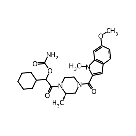 COc1ccc2cc(C(=O)N3CCN(C(=O)C(OC(N)=O)C4CCCCC4)[C@H](C)C3)n(C)c2c1